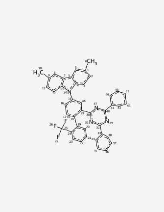 Cc1ccc2c(c1)c1cc(C)ccc1n2-c1ccc(-c2ccccc2C(F)(F)F)c(-c2nc(-c3ccccc3)nc(-c3ccccc3)n2)c1